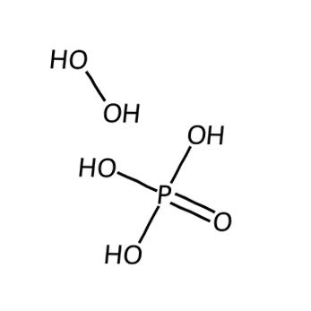 O=P(O)(O)O.OO